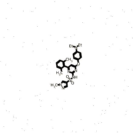 CCN(CC)c1ccc(Oc2cc(-c3c(C)cccc3C)nc(NS(=O)(=O)c3cnn(C)c3)n2)cc1